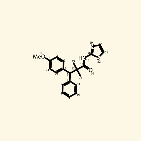 COc1ccc(C(c2ccccc2)C(C)(C)C(=O)Nc2nccs2)cc1